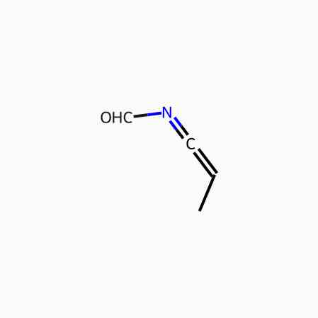 CC=C=NC=O